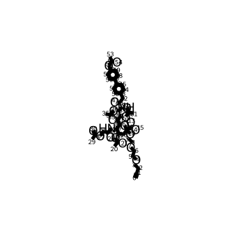 C#CCCOCCOCCOC1(C(=O)OC)C[C@H](OC(C)=O)[C@@H](NC(=O)COC(C)=O)[C@H]([C@H](OC(C)=O)[C@@H](CNC(=O)Cc2ccc(-c3ccc(OC(C)=O)cc3)cc2)OC(C)=O)O1